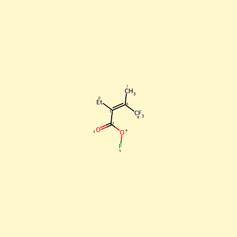 CC/C(C(=O)OF)=C(\C)C(F)(F)F